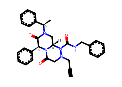 C#CCN1CC(=O)N2[C@@H](c3ccccc3)C(=O)N([C@H](C)c3ccccc3)C[C@@H]2N1C(=O)NCc1ccccc1